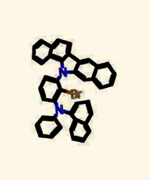 Brc1c(N(c2ccccc2)c2cccc3ccccc23)cccc1-n1c2cc3ccccc3cc2c2ccc3ccccc3c21